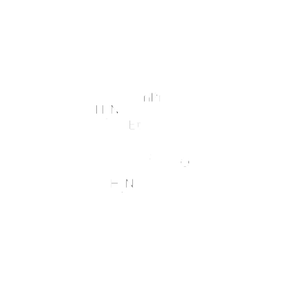 CCC(N)=O.CCCN